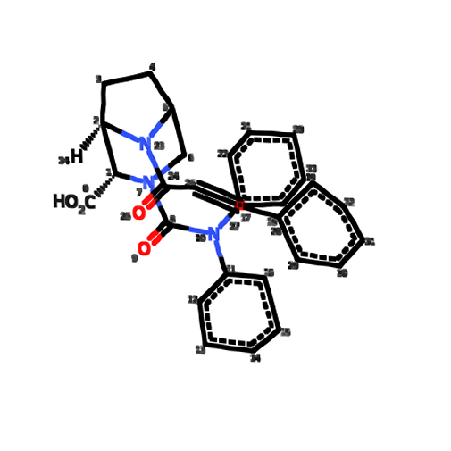 O=C(O)[C@@H]1[C@H]2CCC(CN1C(=O)N(c1ccccc1)c1ccccc1)N2C(=O)C#Cc1ccccc1